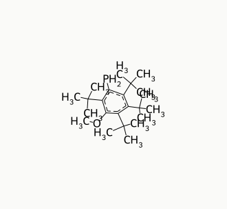 COc1c(C(C)(C)C)c(P)c(C(C)(C)C)c(C(C)(C)C)c1C(C)(C)C